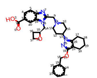 O=C(O)c1ccc2nc(CN3CCC(n4nc(OCc5ccccc5)c5c4CCCC5)CC3)n(C[C@@H]3CCO3)c2c1